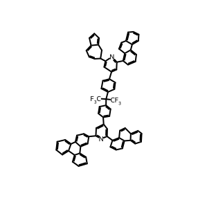 FC(F)(F)C(c1ccc(-c2cc(-c3ccc4c5ccccc5c5ccccc5c4c3)nc(-c3cccc4c3ccc3ccccc34)c2)cc1)(c1ccc(-c2cc(-c3cccc4c3ccc3ccccc34)nc(C3C=CC=C4C=CC=C4C3)c2)cc1)C(F)(F)F